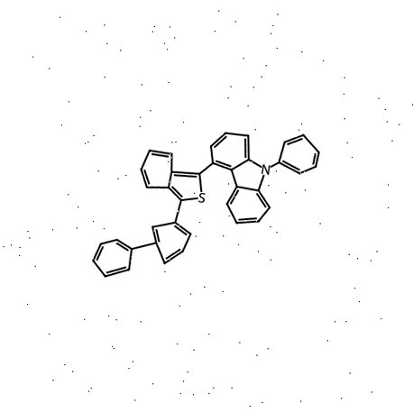 c1ccc(-c2cccc(-c3sc(-c4cccc5c4c4ccccc4n5-c4ccccc4)c4ccccc34)c2)cc1